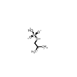 CC(C)CO[Se](=O)(=O)O